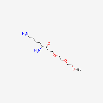 CCOCCOCCOCCC(=O)[C@@H](N)CCCCN